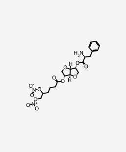 N[C@@H](Cc1ccccc1)C(=O)O[C@@H]1CO[C@H]2[C@@H]1OC[C@H]2OC(=O)CCCC(CO[N+](=O)[O-])O[N+](=O)[O-]